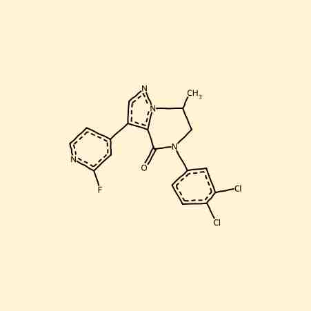 CC1CN(c2ccc(Cl)c(Cl)c2)C(=O)c2c(-c3ccnc(F)c3)cnn21